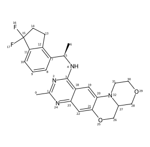 Cc1nc(N[C@H](C)c2cccc3c2CCC3(F)F)c2cc3c(cc2n1)OCC1COCCN31